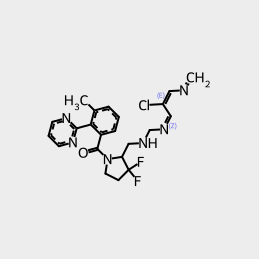 C=N/C=C(Cl)\C=N/CNCC1N(C(=O)c2cccc(C)c2-c2ncccn2)CCC1(F)F